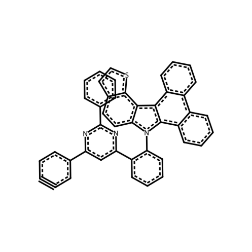 c1ccc(-c2cc(-c3ccccc3-n3c4ccc5ccsc5c4c4c5ccccc5c5ccccc5c43)nc(-c3ccccc3)n2)cc#1